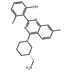 Cc1ccc2c(N3CCC[C@@H](CN)C3)nc(-c3c(O)cccc3F)nc2c1